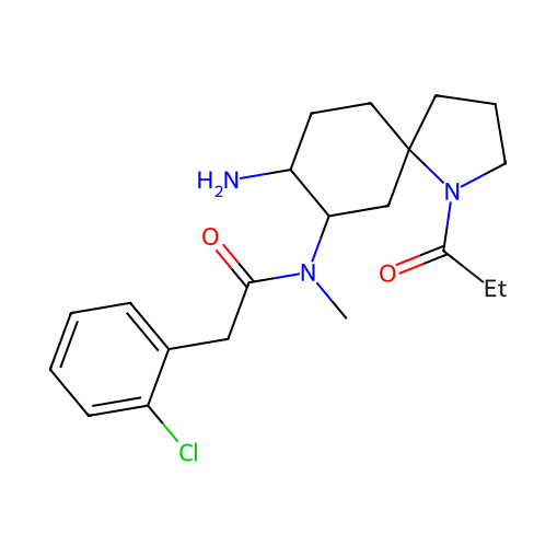 CCC(=O)N1CCCC12CCC(N)C(N(C)C(=O)Cc1ccccc1Cl)C2